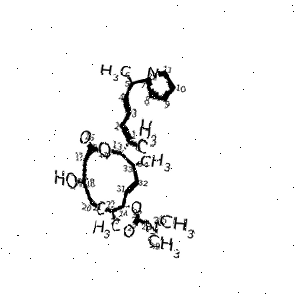 C/C(=C\C=C\[C@@H](C)c1ccccn1)[C@H]1OC(=O)C[C@H](O)CC[C@H](C)[C@@H](OC(=O)N(C)C)/C=C/[C@@H]1C